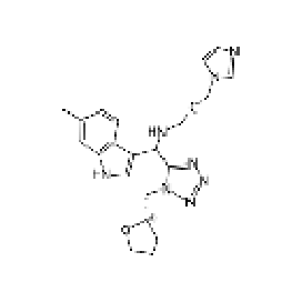 Cc1ccc2c(C(NCCCn3ccnc3)c3nnnn3C[C@@H]3CCCO3)c[nH]c2c1